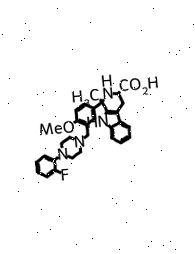 COc1ccc(C2(C)NC(C(=O)O)Cc3c2[nH]c2ccccc32)cc1CN1CCN(c2ccccc2F)CC1